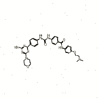 CCCCc1nc(-c2ccc(NC(=O)Nc3ccc(C(=O)Nc4ccc(OCCN(C)C)cc4)cc3)cc2)nc(N2CCOCC2)n1